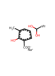 CCCC(O)O.Cc1cccc(C(=O)[O-])c1O.[Na+]